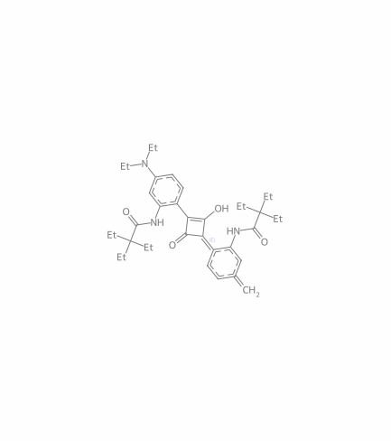 C=c1cc/c(=C2\C(=O)C(c3ccc(N(CC)CC)cc3NC(=O)C(CC)(CC)CC)=C2O)c(NC(=O)C(CC)(CC)CC)c1